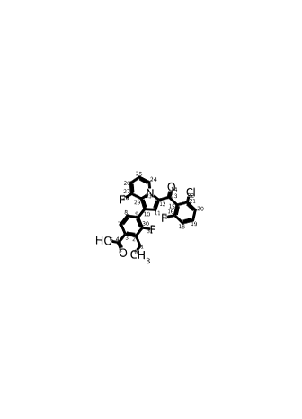 CCc1c(C(=O)O)ccc(-c2cc(C(=O)c3c(F)cccc3Cl)n3cccc(F)c23)c1F